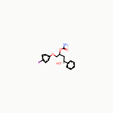 NC(=O)OC(COc1ccc(I)cc1)C[C@@H](O)c1ccccc1